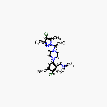 COc1cc(N2CCN(C(C=O)n3nc(C(F)(F)F)c(Cl)c3C)CC2)c(CN(C)C)cc1Cl